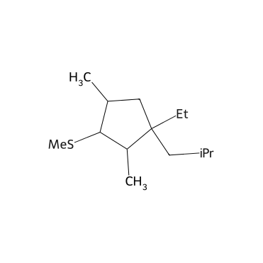 CCC1(CC(C)C)CC(C)C(SC)C1C